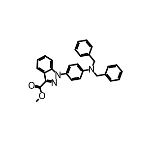 COC(=O)c1nn(-c2ccc(N(Cc3ccccc3)Cc3ccccc3)cc2)c2ccccc12